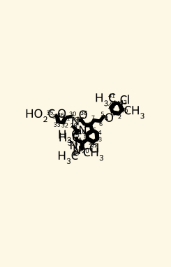 Cc1cc(OCCCc2c3n(c4c(-c5c(C)nn(C)c5C)c(Cl)ccc24)C(C)CN(Cc2ccc(C(=O)O)o2)C3=O)cc(C)c1Cl